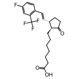 O=C(O)CCCCCC[C@@H]1C(=O)CC[C@H]1C=Cc1ccc(F)cc1C(F)(F)F